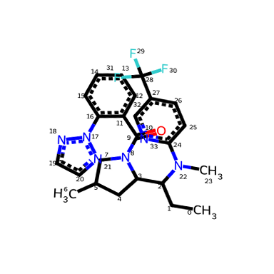 CCC(C1CC(C)CN1C(=O)c1ccccc1-n1nccn1)N(C)c1ccc(C(F)(F)F)cn1